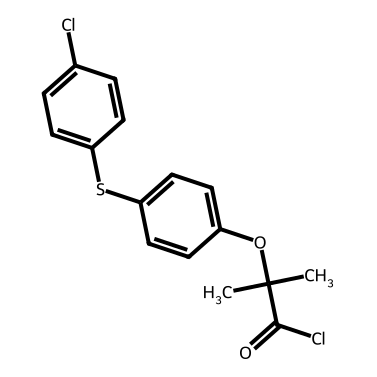 CC(C)(Oc1ccc(Sc2ccc(Cl)cc2)cc1)C(=O)Cl